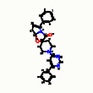 O=C1N2C(c3ccccc3)=CCC2OC12CCN(c1cc(-c3ccccc3)ncn1)CC2